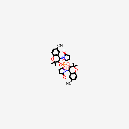 CC1(C)Oc2ccc(C#N)cc2C(N2CCCC2=O)C1OP(=O)(O)OC1C(N2CCCC2=O)c2cc(C#N)ccc2OC1(C)C